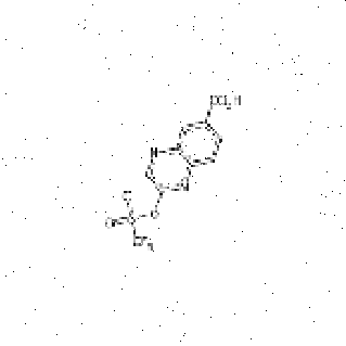 O=C(O)c1ccc2nc(OS(=O)(=O)C(F)(F)F)cnc2c1